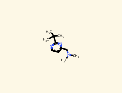 CN(C)Cc1ccnc(C(C)(C)C)n1